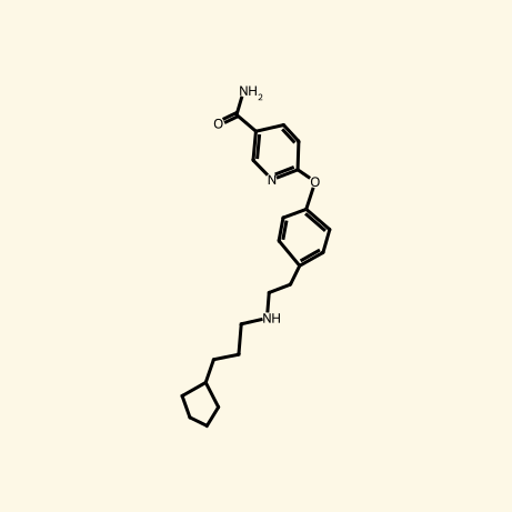 NC(=O)c1ccc(Oc2ccc(CCNCCCC3CCCC3)cc2)nc1